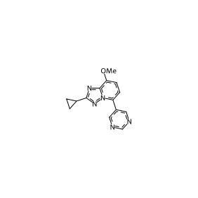 COc1ccc(-c2cncnc2)n2nc(C3CC3)nc12